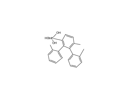 Cc1ccccc1-c1c(C)ccc([PH](O)(O)O)c1-c1ccccc1C